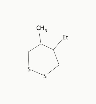 CCC1CSSCC1C